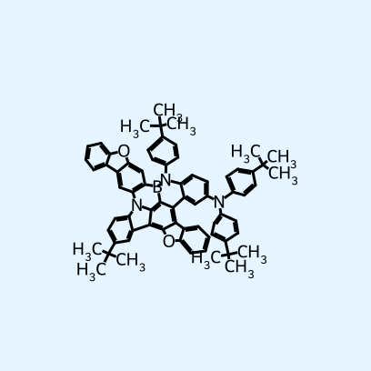 CC(C)(C)c1ccc(N2B3c4cc5oc6ccccc6c5cc4-n4c5ccc(C(C)(C)C)cc5c5c6oc7ccccc7c6c(c3c54)-c3cc(N(c4ccc(C(C)(C)C)cc4)c4ccc(C(C)(C)C)cc4)ccc32)cc1